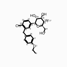 CCOc1ccc(Cc2cc([C@@H]3O[C@H](CO)[C@@H]([18F])[C@H](O)[C@H]3O)ccc2Cl)cc1